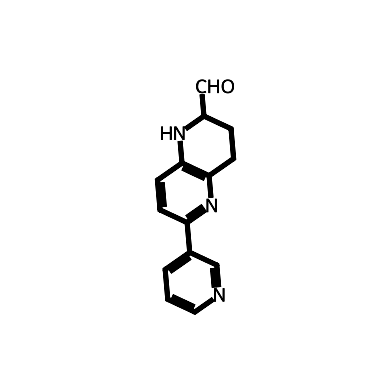 O=CC1CCc2nc(-c3cccnc3)ccc2N1